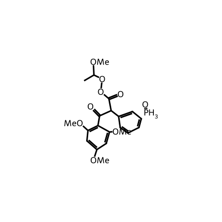 COc1cc(OC)c(C(=O)C(C(=O)OOC(C)OC)c2ccccc2)c(OC)c1.O=[PH3]